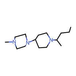 CCCC(C)N1CCC(N2CCN(C)CC2)CC1